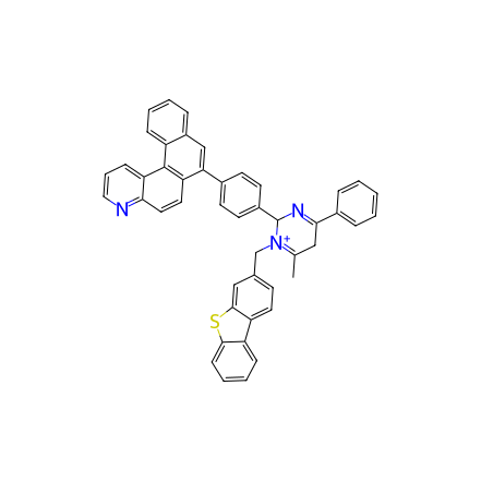 CC1=[N+](Cc2ccc3c(c2)sc2ccccc23)C(c2ccc(-c3cc4ccccc4c4c3ccc3ncccc34)cc2)N=C(c2ccccc2)C1